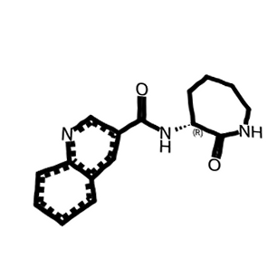 O=C(N[C@@H]1CCCCNC1=O)c1cnc2ccccc2c1